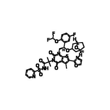 Cc1c(-c2ncco2)sc2c1c(=O)n(C(C)(C)C(=O)NS(=O)(=O)c1ccccn1)c(=O)n2C[C@H](OC1C[C@H]2CC[C@@H](C1)O2)c1cc(F)ccc1OC(F)F